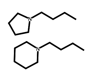 CCCCN1CCCC1.CCCCN1CCCCC1